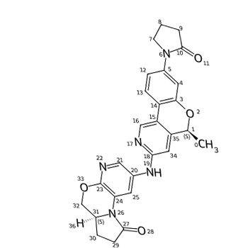 C[C@@H]1Oc2cc(N3CCCC3=O)ccc2-c2cnc(Nc3cnc4c(c3)N3C(=O)CC[C@H]3CO4)cc21